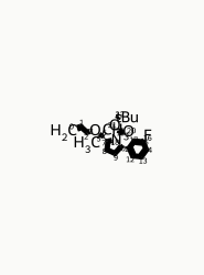 C=CCOC(C)(C)[C@H]1CC[C@@H](c2cccc(F)c2)N1C(=O)OC(C)(C)C